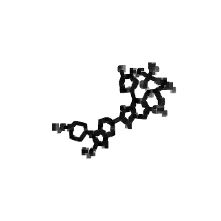 CC(=O)[C@@H](OC(C)(C)C)c1c(C)cc2nc(-c3ccc4c(c3)nc(C)n4C3CCN(C)CC3)sc2c1-c1ccc(Cl)cc1